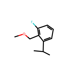 COCc1c(F)cccc1C(C)C